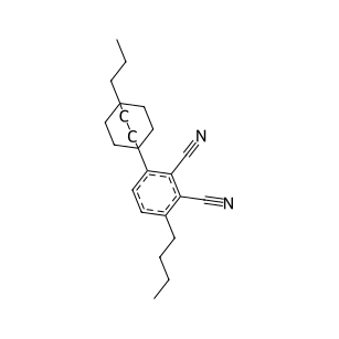 CCCCc1ccc(C23CCC(CCC)(CC2)CC3)c(C#N)c1C#N